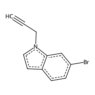 C#CCn1ccc2ccc(Br)cc21